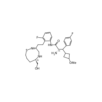 COC1CC(C(c2ccc(F)cc2)[C@H](N)C(=O)Nc2cccc(F)c2CCC2CN[C@@H](CO)CCCSN2)C1